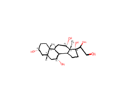 C[C@]12CC[C@@H](O)C[C@H]1C[C@@H](O)C1C2C[C@H](O)[C@@]2(C)C1CC[C@]2(O)C(O)CO